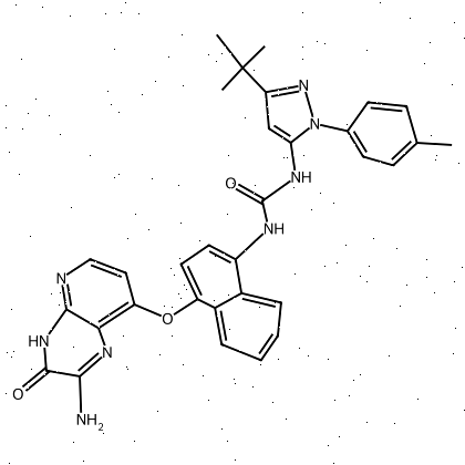 Cc1ccc(-n2nc(C(C)(C)C)cc2NC(=O)Nc2ccc(Oc3ccnc4[nH]c(=O)c(N)nc34)c3ccccc23)cc1